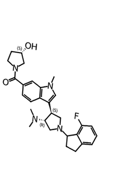 CN(C)[C@H]1CN(C2CCc3cccc(F)c32)C[C@@H]1c1cn(C)c2cc(C(=O)N3CC[C@H](O)C3)ccc12